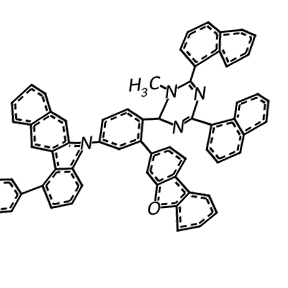 CN1C(c2cccc3ccccc23)=NC(c2cccc3ccccc23)=NC1c1ccc(-n2c3cc4ccccc4cc3c3c(-c4ccccc4)cccc32)cc1-c1ccc2c(c1)oc1ccccc12